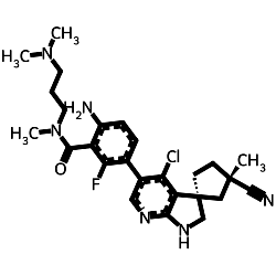 CN(C)CCCN(C)C(=O)c1c(N)ccc(-c2cnc3c(c2Cl)[C@]2(CC[C@](C)(C#N)C2)CN3)c1F